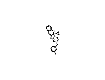 Cc1cccc(CN2CCN(C3(C4CC4)Nc4cccnc4N=C3N)CC2)c1